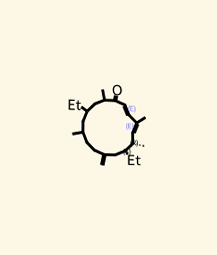 C=C1CCC(C)CC(CC)CC(C)C(=O)/C=C/C(C)=C/[C@H](C)[C@@H](CC)C1